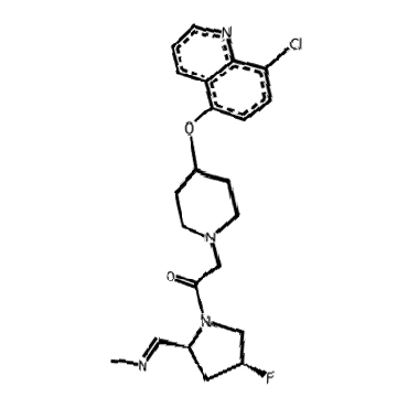 CN=C[C@@H]1C[C@H](F)CN1C(=O)CN1CCC(Oc2ccc(Cl)c3ncccc23)CC1